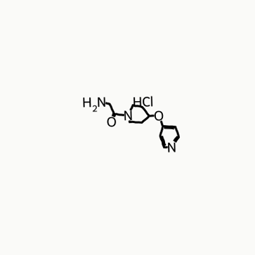 Cl.NCC(=O)N1CCC(Oc2ccncc2)CC1